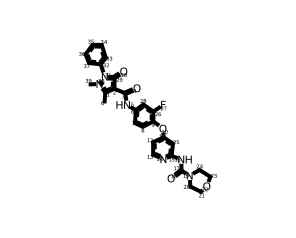 Cc1c(C(=O)Nc2ccc(Oc3ccnc(NC(=O)N4CCOCC4)c3)c(F)c2)c(=O)n(-c2ccccc2)n1C